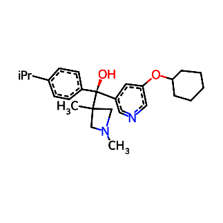 CC(C)c1ccc([C@](O)(c2cncc(OC3CCCCC3)c2)C2(C)CN(C)C2)cc1